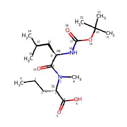 CCC[C@@H](C(=O)O)N(C)C(=O)[C@@H](CC(C)C)NC(=O)OC(C)(C)C